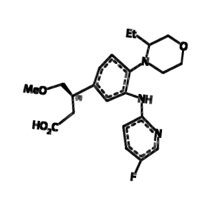 CCC1COCCN1c1ccc([C@H](COC)CC(=O)O)cc1Nc1ccc(F)cn1